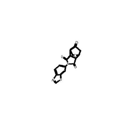 O=C1CC2CCC1C1C(=O)N(c3ccc4ncsc4c3)C(=O)C21